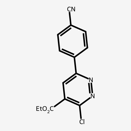 CCOC(=O)c1cc(-c2ccc(C#N)cc2)nnc1Cl